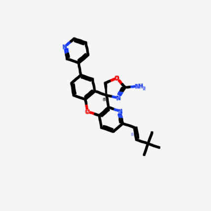 CC(C)(C)/C=C/c1ccc2c(n1)[C@]1(COC(N)=N1)c1cc(-c3cccnc3)ccc1O2